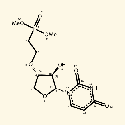 COP(=O)(CCO[C@H]1CO[C@@H](n2ccc(=O)[nH]c2=O)[C@@H]1O)OC